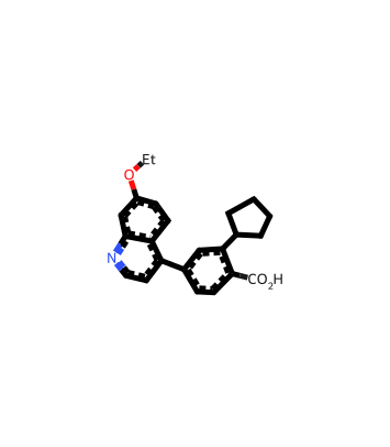 CCOc1ccc2c(-c3ccc(C(=O)O)c(C4CCCC4)c3)ccnc2c1